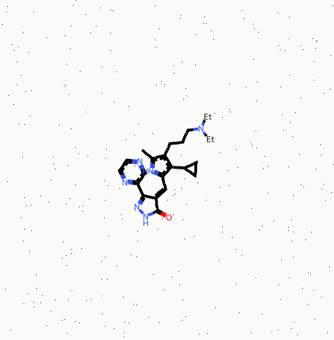 CCN(CC)CCCc1c(C)[nH]c(/C=C2/C(=O)NN=C2c2cnccn2)c1C1CC1